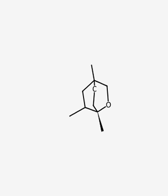 CC1CC2(C)CC[C@]1(C)OC2